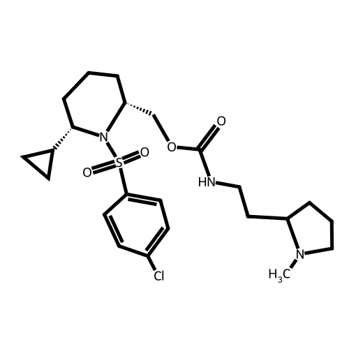 CN1CCCC1CCNC(=O)OC[C@H]1CCC[C@@H](C2CC2)N1S(=O)(=O)c1ccc(Cl)cc1